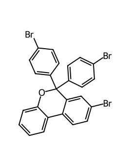 Brc1ccc(C2(c3ccc(Br)cc3)Oc3ccccc3-c3ccc(Br)cc32)cc1